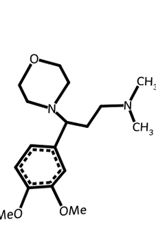 COc1ccc(C(CCN(C)C)N2CCOCC2)cc1OC